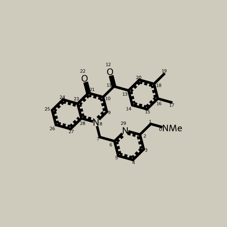 CNCc1cccc(Cn2cc(C(=O)c3ccc(C)c(C)c3)c(=O)c3ccccc32)n1